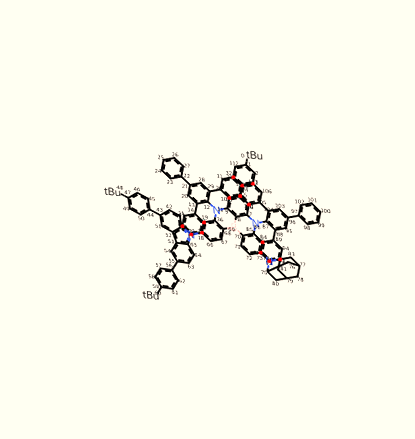 CC(C)(C)c1ccc(-c2cc3c4c(c2)N(c2c(-c5ccccc5)cc(-c5ccccc5)cc2-c2ccccc2)c2cc(-n5c6ccc(-c7ccc(C(C)(C)C)cc7)cc6c6cc(-c7ccc(C(C)(C)C)cc7)ccc65)ccc2B4c2ccc(N4C5CC6CC(C5)CC4C6)cc2N3c2c(-c3ccccc3)cc(-c3ccccc3)cc2-c2ccccc2)cc1